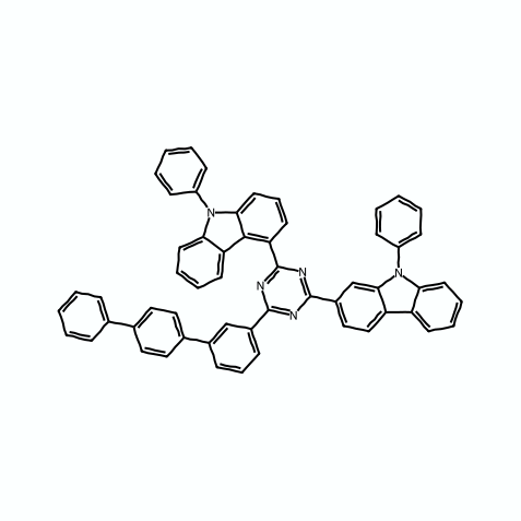 c1ccc(-c2ccc(-c3cccc(-c4nc(-c5ccc6c7ccccc7n(-c7ccccc7)c6c5)nc(-c5cccc6c5c5ccccc5n6-c5ccccc5)n4)c3)cc2)cc1